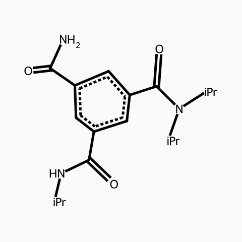 CC(C)NC(=O)c1cc(C(N)=O)cc(C(=O)N(C(C)C)C(C)C)c1